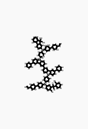 C=Cc1ccc(-c2ccc(N(C(/C=C\C(=C)n3c4ccc(-c5ccccc5)cc4c4cc(-c5ccc6c(c5)c5cc(-c7ccccc7)ccc5n6-c5ccc(N(c6ccc(-c7ccc(C=C)cc7)cc6)c6ccc(C)c(C(C)(C)c7ccccc7C)c6)cc5)ccc43)=C/C)c3ccc4c(c3)C(C)(C)c3ccccc3-4)cc2)cc1